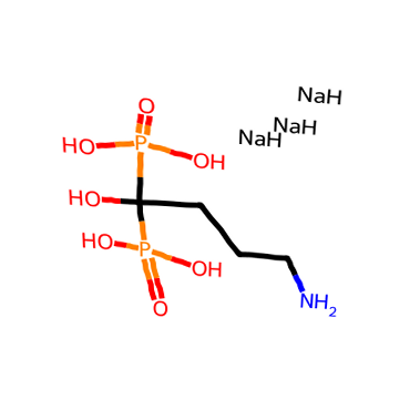 NCCCC(O)(P(=O)(O)O)P(=O)(O)O.[NaH].[NaH].[NaH]